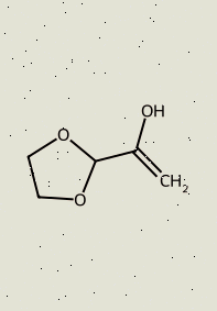 C=C(O)C1OCCO1